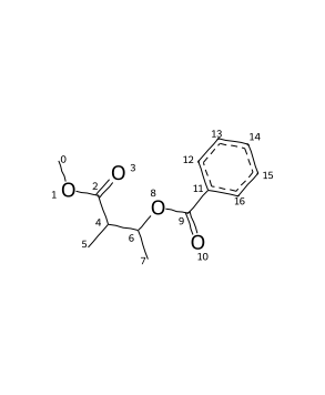 COC(=O)C(C)C(C)OC(=O)c1ccccc1